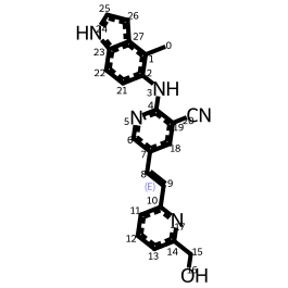 Cc1c(Nc2ncc(/C=C/c3cccc(CO)n3)cc2C#N)ccc2[nH]ccc12